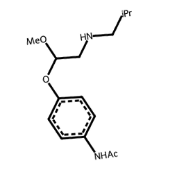 COC(CNCC(C)C)Oc1ccc(NC(C)=O)cc1